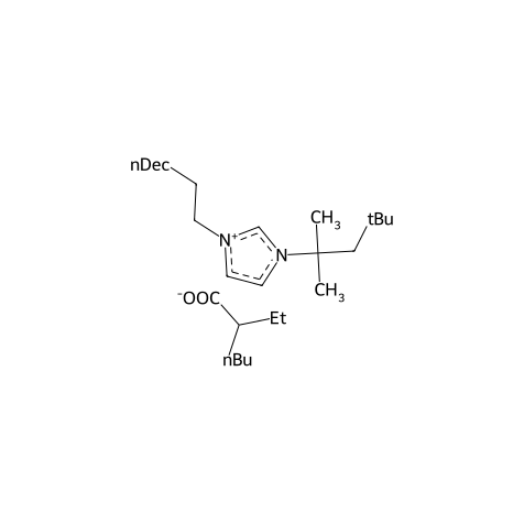 CCCCC(CC)C(=O)[O-].CCCCCCCCCCCC[n+]1ccn(C(C)(C)CC(C)(C)C)c1